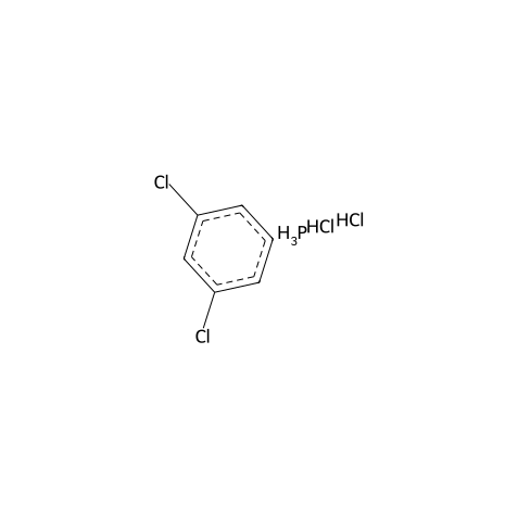 Cl.Cl.Clc1cccc(Cl)c1.P